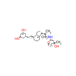 C[C@H](CNC(=O)C[C@](C)(O)C(F)(F)F)[C@H]1CCC2/C(=C/C=C3C[C@@H](O)C[C@H](O)C3)CCC[C@@]21C